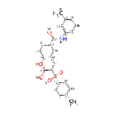 Cc1ccc(S(=O)(=O)c2cc3cc(C(=O)Nc4cccc(C)c4)ccc3oc2=O)cc1